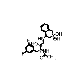 CC(=O)N[C@@H](Cc1cc(F)cc(F)c1)[C@H](O)CNC1CS(O)(O)Cc2ccccc21